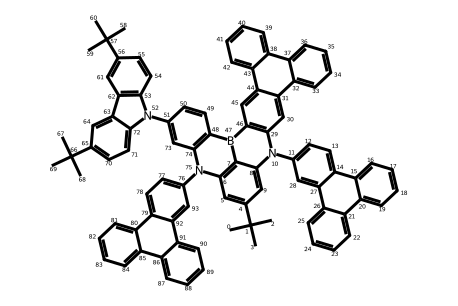 CC(C)(C)c1cc2c3c(c1)N(c1ccc4c5ccccc5c5ccccc5c4c1)c1cc4c5ccccc5c5ccccc5c4cc1B3c1ccc(-n3c4ccc(C(C)(C)C)cc4c4cc(C(C)(C)C)ccc43)cc1N2c1ccc2c3ccccc3c3ccccc3c2c1